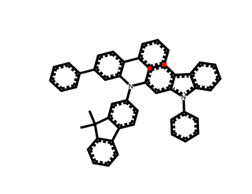 CC1(C)c2ccccc2-c2ccc(N(c3ccc4c5ccccc5n(-c5ccccc5)c4c3)c3cc(-c4ccccc4)ccc3-c3ccccc3)cc21